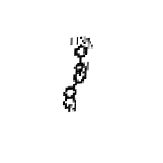 c1cc2ccc(-c3ccn4nc(-c5ccc6[nH]cnc6c5)cc4c3)cc2cn1